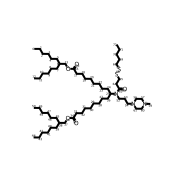 CCCCCCC(CCCCCC)COC(=O)CCCCCCCCC(CCCCCCCCC(=O)OCC(CCCCCC)CCCCCC)N(CCCN1CCN(C)CC1)C(=O)CCSSCCCCC